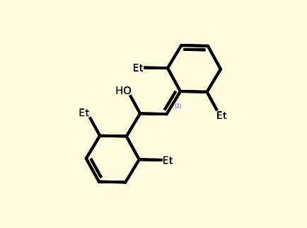 CCC1C=CCC(CC)/C1=C/C(O)C1C(CC)C=CCC1CC